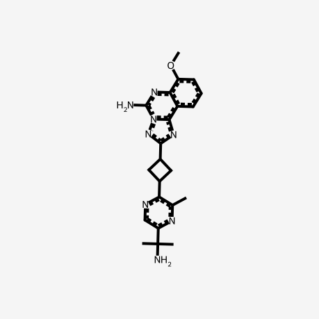 COc1cccc2c1nc(N)n1nc(C3CC(c4ncc(C(C)(C)N)nc4C)C3)nc21